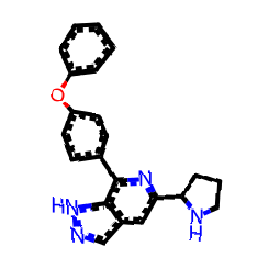 c1ccc(Oc2ccc(-c3nc(C4CCCN4)cc4cn[nH]c34)cc2)cc1